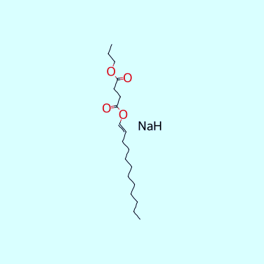 CCCCCCCCCCC=COC(=O)CCC(=O)OCCC.[NaH]